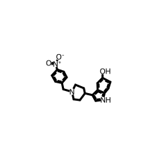 O=[N+]([O-])c1ccc(CN2CCC(c3c[nH]c4ccc(O)cc34)CC2)cc1